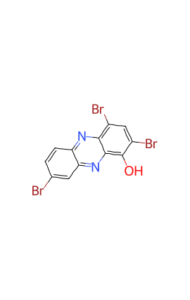 Oc1c(Br)cc(Br)c2nc3ccc(Br)cc3nc12